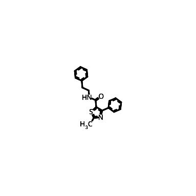 Cc1nc(-c2ccccc2)c(C(=O)NCCc2ccccc2)s1